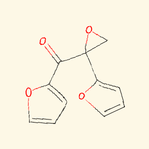 O=C(c1ccco1)C1(c2ccco2)CO1